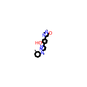 C[C@@H]1CCCC[C@H](N(C)c2ccc(-c3ccc(-c4cc(=O)n(C)cn4)cc3O)nn2)C1